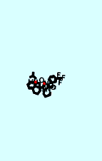 CC(C)CNCC1(C(C(N)=O)[C@@H]2CCCCN2S(=O)(=O)c2cccc(C(F)(F)F)c2)CCCc2ccccc21